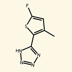 Cc1cc(F)sc1-c1nnn[nH]1